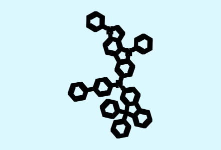 c1ccc(-c2ccc(N(c3ccc4c(c3)C(c3ccccc3)(c3ccccc3)c3ccccc3-4)c3ccc4c(c3)c3ccc5c(ccn5-c5ccccc5)c3n4-c3ccccc3)cc2)cc1